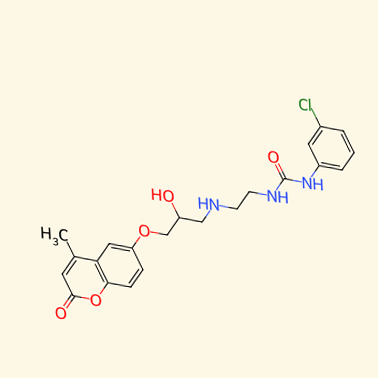 Cc1cc(=O)oc2ccc(OCC(O)CNCCNC(=O)Nc3cccc(Cl)c3)cc12